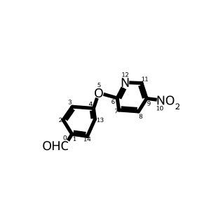 O=Cc1ccc(Oc2ccc([N+](=O)[O-])cn2)cc1